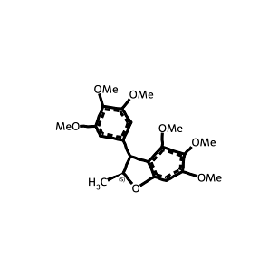 COc1cc(C2c3c(cc(OC)c(OC)c3OC)O[C@H]2C)cc(OC)c1OC